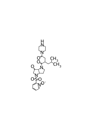 CC(C)CC(CC(=O)N1CCNCC1)C(=O)N1CCC2C1C(=O)CN2S(=O)(=O)c1cccc[n+]1[O-]